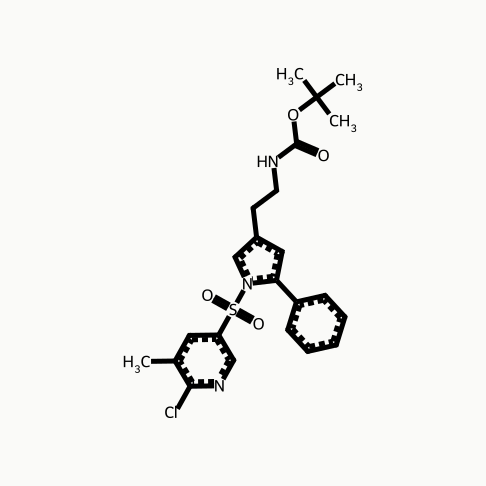 Cc1cc(S(=O)(=O)n2cc(CCNC(=O)OC(C)(C)C)cc2-c2ccccc2)cnc1Cl